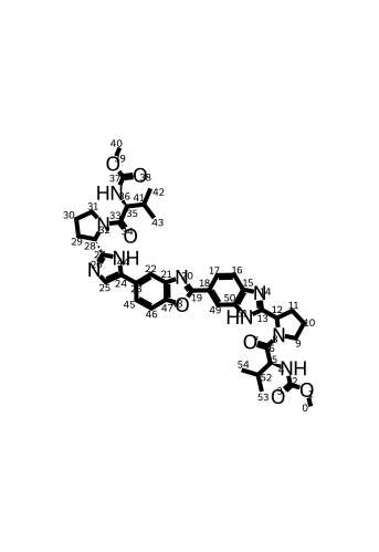 COC(=O)N[C@H](C(=O)N1CCCC1c1nc2ccc(-c3nc4cc(-c5cnc([C@@H]6CCCN6C(=O)[C@@H](NC(=O)OC)C(C)C)[nH]5)ccc4o3)cc2[nH]1)C(C)C